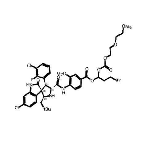 COCCOCCOC(=O)OC(CCC(C)C)OC(=O)c1ccc(NC(=O)[C@@H]2N[C@@H](CC(C)(C)C)[C@@]3(C(=O)Nc4cc(Cl)ccc43)[C@H]2c2cccc(Cl)c2F)c(OC)c1